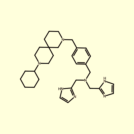 c1c[nH]c(CN(Cc2ccc(CN3CCCC4(CCN(C5CCCCC5)CC4)C3)cc2)Cc2ncc[nH]2)n1